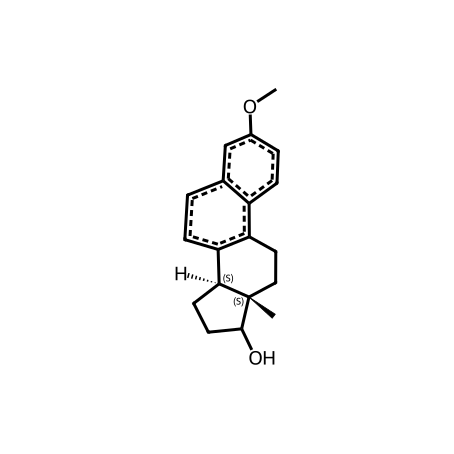 COc1ccc2c3c(ccc2c1)[C@@H]1CCC(O)[C@@]1(C)CC3